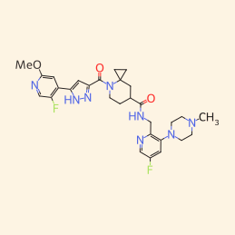 COc1cc(-c2cc(C(=O)N3CCC(C(=O)NCc4ncc(F)cc4N4CCN(C)CC4)CC34CC4)n[nH]2)c(F)cn1